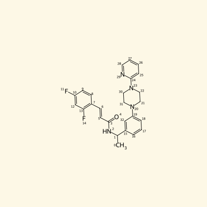 CC(NC(=O)C=Cc1ccc(F)cc1F)c1cccc(N2CCN(c3ccccn3)CC2)c1